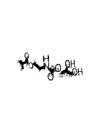 C=C(C)C(=O)OCCNC(=O)OCC(O)CO